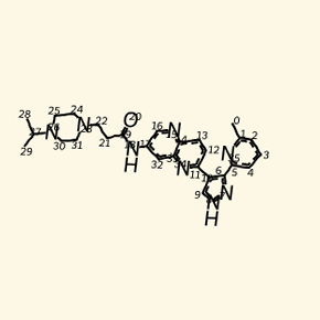 Cc1cccc(-c2n[nH]cc2-c2ccc3ncc(NC(=O)CCN4CCN(C(C)C)CC4)cc3n2)n1